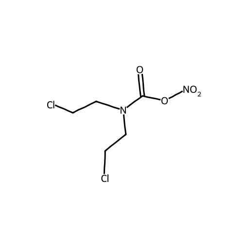 O=C(O[N+](=O)[O-])N(CCCl)CCCl